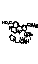 COc1cc(OC)c(F)c(-c2ccc(C(=O)O)c3nccnc23)c1.Nc1nc(CN2CCCC2)c[nH]1